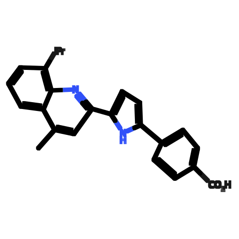 Cc1cc(-c2ccc(-c3ccc(C(=O)O)cc3)[nH]2)nc2c(C(C)C)cccc12